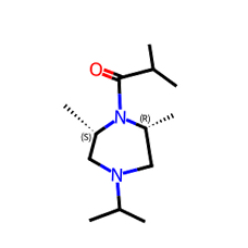 CC(C)C(=O)N1[C@H](C)CN(C(C)C)C[C@@H]1C